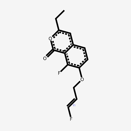 CCc1cc2ccc(OC/C=C/F)c(F)c2c(=O)o1